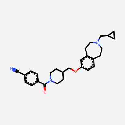 N#Cc1ccc(C(=O)N2CCC(COc3ccc4c(c3)CCN(CC3CC3)CC4)CC2)cc1